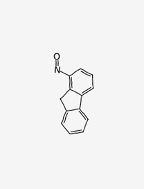 O=Nc1cccc2c1Cc1ccccc1-2